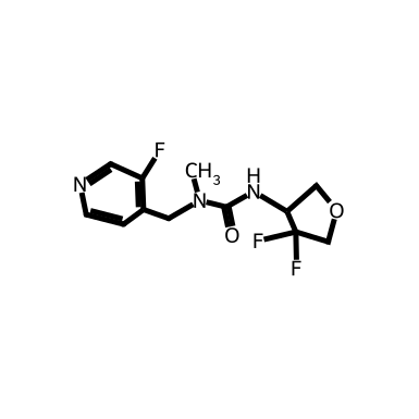 CN(Cc1ccncc1F)C(=O)NC1COCC1(F)F